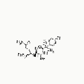 CCOC(=O)[C@@H](CCC(N)=O)NC(=O)[C@@H](NC(=O)C(C)(C)c1ccc(Cl)cc1)C(C)C